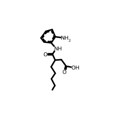 CCCCCC(CC(=O)O)C(=O)Nc1ccccc1N